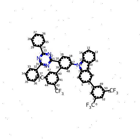 FC(F)(F)c1cc(-c2ccc3c(c2)c2ccccc2n3-c2ccc(-c3nc(-c4ccccc4)nc(-c4ccccc4)n3)c(-c3cc(C(F)(F)F)cc(C(F)(F)F)c3)c2)cc(C(F)(F)F)c1